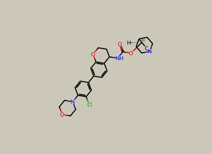 O=C(NC1CCOc2cc(-c3ccc(N4CCOCC4)c(Cl)c3)ccc21)O[C@@H]1CN2CCC1CC2